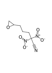 N#CC(CCCC1CO1)([N+](=O)[O-])[N+](=O)[O-]